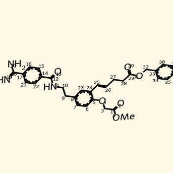 COC(=O)COc1ccc(CCNC(=O)c2ccc(C(=N)N)cc2)cc1/C=C/CCC(=O)OCc1ccccc1